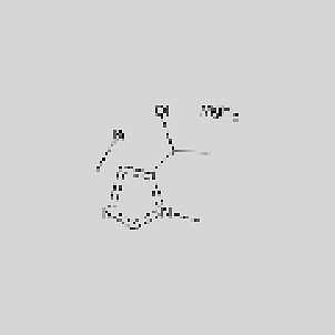 CBr.CC(O)c1cncn1C.[MgH2]